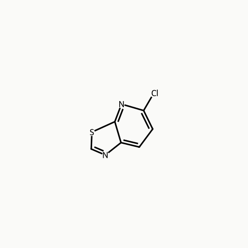 Clc1ccc2ncsc2n1